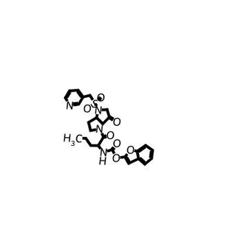 CCCC(NC(=O)Oc1cc2ccccc2o1)C(=O)N1CCC2C1C(=O)CN2S(=O)(=O)Cc1cccnc1